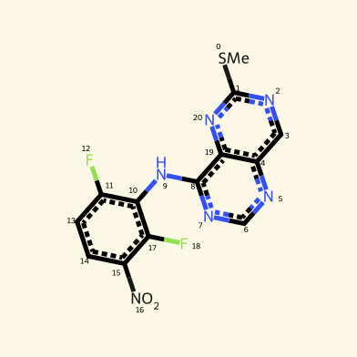 CSc1ncc2ncnc(Nc3c(F)ccc([N+](=O)[O-])c3F)c2n1